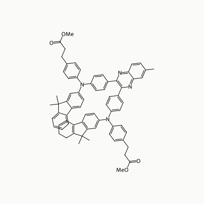 COC(=O)CCc1ccc(N(c2ccc(-c3nc4cc(C)ccc4nc3-c3ccc(N(c4ccc(CCC(=O)OC)cc4)c4ccc5c(c4)C(C)(C)c4ccccc4-5)cc3)cc2)c2ccc3c(c2)C(C)(C)C2=C3C=CCC2)cc1